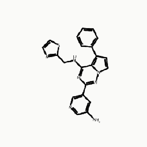 Nc1cncc(-c2nc(NCc3nccs3)c3c(-c4ccccc4)ccn3n2)c1